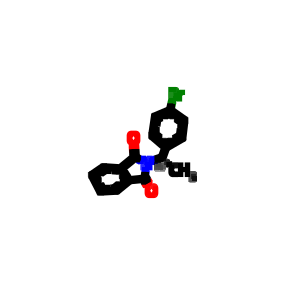 C[C@@H](c1ccc(Br)cc1)N1C(=O)c2ccccc2C1=O